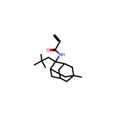 C=CC(=O)NC1(CC(C)(C)C)C2CC3CC1CC(C)(C3)C2